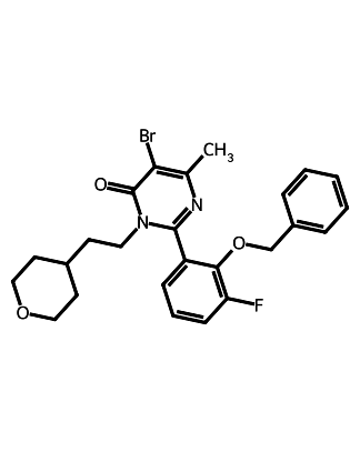 Cc1nc(-c2cccc(F)c2OCc2ccccc2)n(CCC2CCOCC2)c(=O)c1Br